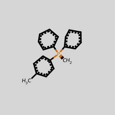 C=P(c1ccccc1)(c1ccccc1)c1ccc(C)cc1